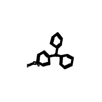 CI.c1ccc(N(c2ccccc2)c2ccccc2)cc1